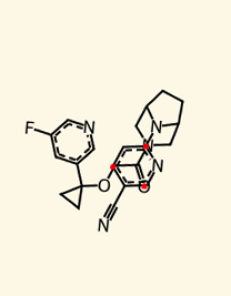 N#Cc1ccc(N2C3CCC2CN(C(=O)COC2(c4cncc(F)c4)CC2)C3)nc1